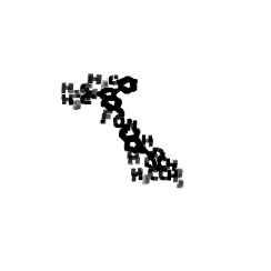 Cc1ccccc1[C@@H]1C[C@@H](N(C)C)c2cc(F)c(COc3cc4c(cn3)[C@H]3[C@@H](C4)[C@@H]3C(=O)OC(C)(C)C)cc21